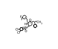 CCC(CN1CC[C@@H](CNC(=O)c2ccc(Cl)c(Cl)c2)N[C@@H](CCN2CCCC(F)(F)C2)C1=O)c1ccccc1